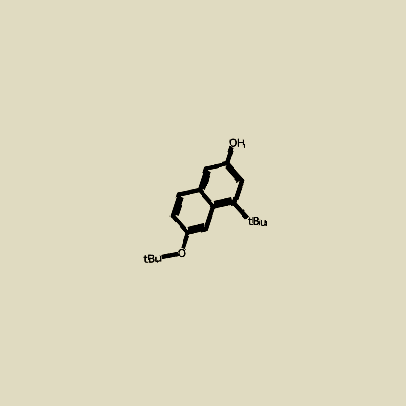 CC(C)(C)Oc1ccc2cc(O)cc(C(C)(C)C)c2c1